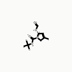 CC1=C[C@@H](OC=O)N(C(=O)OC(C)(C)C)C1